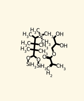 C=C(C)C(=O)OCC(O)CO.CC(C(C)(C)C(C)(C)C(O[SiH3])O[SiH3])[Si](C)(C)C